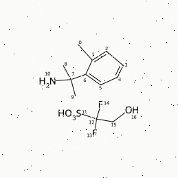 Cc1ccccc1C(C)(C)N.O=S(=O)(O)C(F)(F)CO